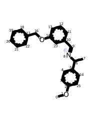 COc1ccc(C(C)/N=C/c2cccc(OCc3ccccc3)c2)cc1